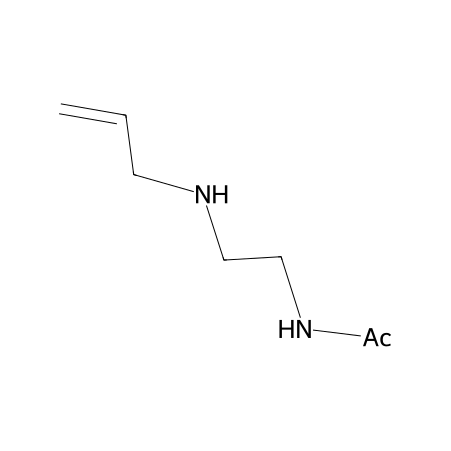 C=CCNCCNC(C)=O